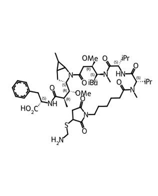 CC[C@H](C)[C@@H]([C@@H](CC(=O)N1C2C(C)C2C[C@H]1[C@H](OC)[C@@H](C)C(=O)N[C@@H](Cc1ccccc1)C(=O)O)OC)N(C)C(=O)[C@@H](NC(=O)[C@H](C(C)C)N(C)C(=O)CCCCCN1C(=O)CC(SCN)C1=O)C(C)C